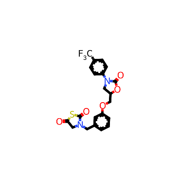 O=C1CN(Cc2cccc(OCC3CN(c4ccc(C(F)(F)F)cc4)C(=O)O3)c2)C(=O)S1